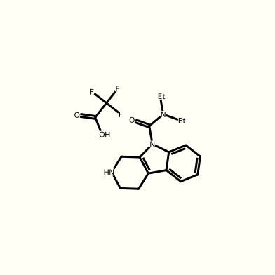 CCN(CC)C(=O)n1c2c(c3ccccc31)CCNC2.O=C(O)C(F)(F)F